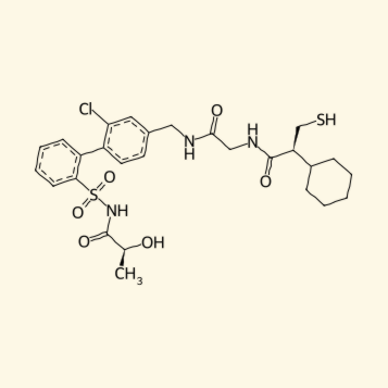 C[C@H](O)C(=O)NS(=O)(=O)c1ccccc1-c1ccc(CNC(=O)CNC(=O)[C@@H](CS)C2CCCCC2)cc1Cl